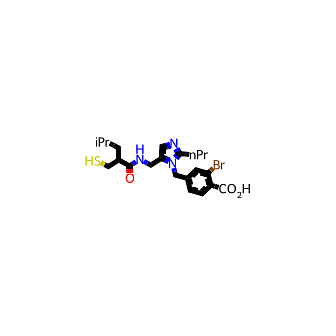 CCCc1ncc(CNC(=O)C(CS)CC(C)C)n1Cc1ccc(C(=O)O)c(Br)c1